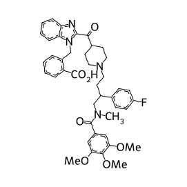 COc1cc(C(=O)N(C)CC(CCN2CCC(C(=O)c3nc4ccccc4n3Cc3ccccc3C(=O)O)CC2)c2ccc(F)cc2)cc(OC)c1OC